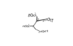 CCCCCCCCCCC(CCCCCCCC)[C](CCCCCCCC)CCCCCCCC